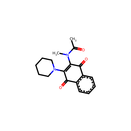 CC(=O)N(C)C1=C(N2CCCCC2)C(=O)c2ccccc2C1=O